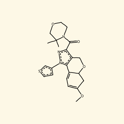 COC1=CC=C2c3c(c(C(=O)N4CCOCC4(C)C)nn3-c3ccsc3)COC2C1